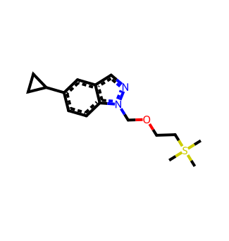 CS(C)(C)CCOCn1ncc2cc(C3CC3)ccc21